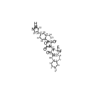 Cc1ccc2c(c1)CC[C@@H](C(F)(F)F)N(C(=O)CN1C(=O)O[C@]3(CCc4cc(-c5cn[nH]c5)ccc43)C1=O)C2